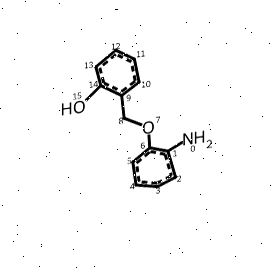 Nc1ccccc1OCc1ccccc1O